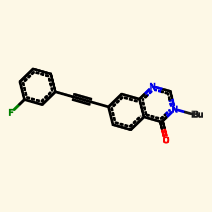 CCC(C)n1cnc2cc(C#Cc3cccc(F)c3)ccc2c1=O